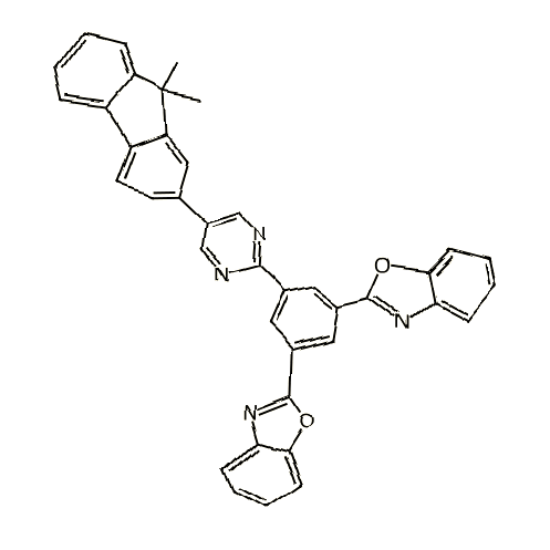 CC1(C)c2ccccc2-c2ccc(-c3cnc(-c4cc(-c5nc6ccccc6o5)cc(-c5nc6ccccc6o5)c4)nc3)cc21